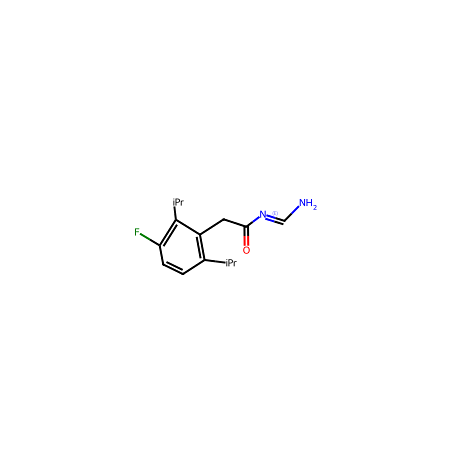 CC(C)c1ccc(F)c(C(C)C)c1CC(=O)/N=C/N